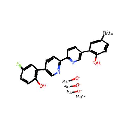 CC(=O)[O-].CC(=O)[O-].CC(=O)[O-].COc1ccc(O)c(-c2ccc(-c3ccc(-c4cc(F)ccc4O)cn3)nc2)c1.[Mn+3]